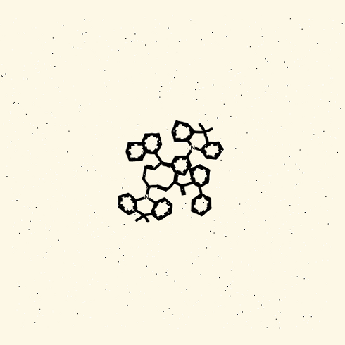 C=C(C1=c2\ccc(N3c4ccccc4C(C)(C)c4ccccc43)c\c2=C(c2cccc3ccccc23)\C=C\CC(N2c3ccccc3C(C)(C)c3ccccc32)\C=C\1)c1ccccc1-c1ccccc1